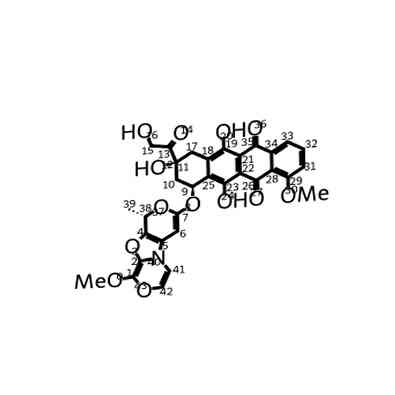 COC1=C2OC3=C(C=C(O[C@H]4C[C@](O)(C(=O)CO)Cc5c(O)c6c(c(O)c54)C(=O)c4c(OC)cccc4C6=O)O[C@H]3C)N2C=CO1